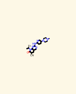 C=C(CC)n1c(=O)c(C#N)cc2cnc(Nc3ccc(N4CCN(C)CC4)cn3)nc21